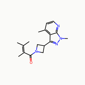 CC(C)=C(C)C(=O)N1CC(c2nn(C)c3nccc(C)c23)C1